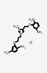 Cn1c[n+](CCCOc2cc(N)ccc2N)cc1CCOc1cc(N)ccc1N.[Cl-]